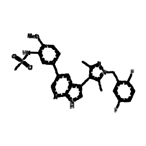 COc1ccc(-c2cnc3[nH]cc(-c4c(C)nn(Cc5cc(F)ccc5F)c4C)c3c2)cc1NS(C)(=O)=O